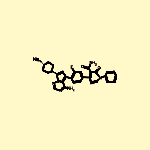 N#C[C@H]1CC[C@H](c2cc(-c3ccc(-c4ccn(-c5ccccc5)c(=O)c4C(N)=O)cc3F)c3c(N)ncnn32)CC1